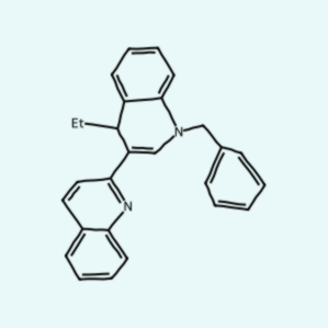 CCC1C(c2ccc3ccccc3n2)=CN(Cc2ccccc2)c2ccccc21